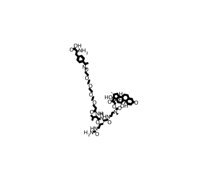 C/C(=N\OCCOCCOCCOCCOCCC(=O)N[C@H](C(=O)N[C@@H](CCCNC(N)=O)C(=O)NCCN(C)C(=O)OCC(=O)[C@@]1(O)[C@H](C)C[C@H]2C3CCC4=CC(=O)C=C[C@]4(C)[C@@]3(F)[C@@H](O)C[C@@]21C)C(C)C)c1ccc(C[C@H](N)C(=O)O)cc1